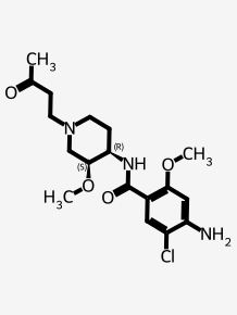 COc1cc(N)c(Cl)cc1C(=O)N[C@@H]1CCN(CCC(C)=O)C[C@@H]1OC